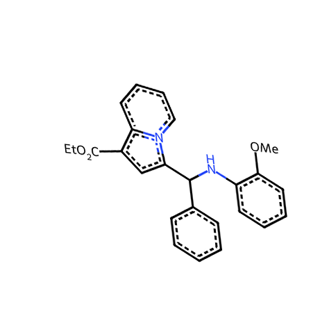 CCOC(=O)c1cc(C(Nc2ccccc2OC)c2ccccc2)n2ccccc12